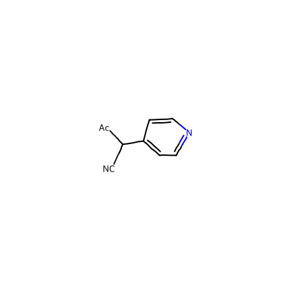 CC(=O)C(C#N)c1ccncc1